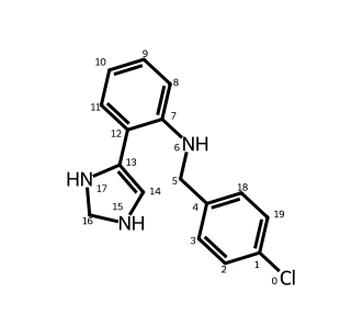 Clc1ccc(CNc2ccccc2C2=CNCN2)cc1